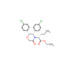 CCC[C@H](C(=O)OCC)N1C(=O)CO[C@H](c2ccc(Cl)cc2)[C@@H]1c1ccc(Cl)cc1